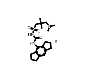 CN(C)CC(C)(C)CS(=O)(=O)NC(=O)Nc1c2c(cc3c1CCC3)CCC2.[K]